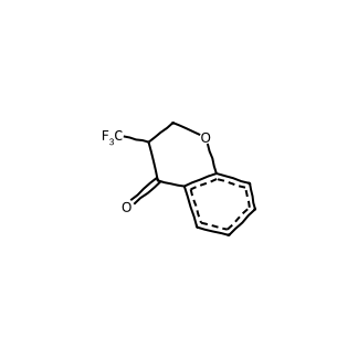 O=C1c2ccccc2OCC1C(F)(F)F